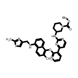 Cc1nc(CNc2cccc3c(Oc4ncccc4-c4ccnc(NC5CCCN(C(=O)OC(C)(C)C)C5)n4)c(C)ccc23)cs1